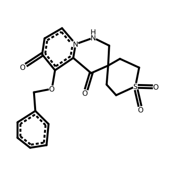 O=C1c2c(OCc3ccccc3)c(=O)ccn2NCC12CCS(=O)(=O)CC2